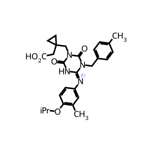 Cc1ccc(Cn2c(=O)n(CC3(CC(=O)O)CC3)c(=O)[nH]/c2=N\c2ccc(OC(C)C)c(C)c2)cc1